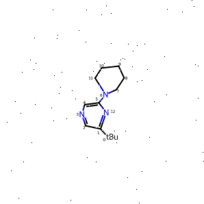 CC(C)(C)c1cncc(N2CCCCC2)n1